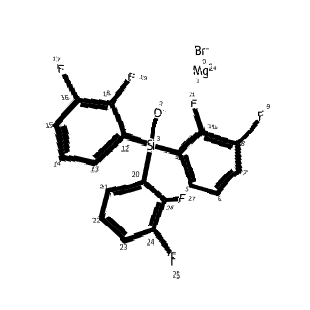 [Br-].[Mg+2].[O-][Si](c1cccc(F)c1F)(c1cccc(F)c1F)c1cccc(F)c1F